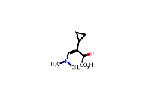 CN(C)/C=C(\C(=O)C(=O)O)C1CC1